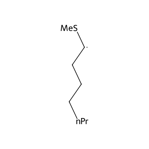 CCCCCC[CH]SC